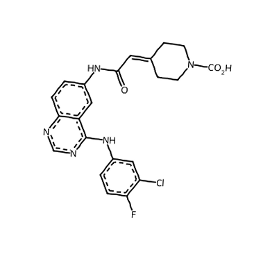 O=C(C=C1CCN(C(=O)O)CC1)Nc1ccc2ncnc(Nc3ccc(F)c(Cl)c3)c2c1